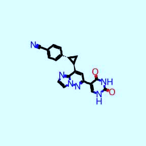 N#Cc1ccc([C@@H]2C[C@H]2c2cc(-c3c[nH]c(=O)[nH]c3=O)nn3ccnc23)cc1